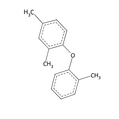 Cc1ccc(Oc2ccccc2C)c(C)c1